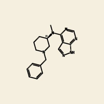 CN(c1ncnc2[nH]ncc12)[C@@H]1CCCN(Cc2ccccc2)C1